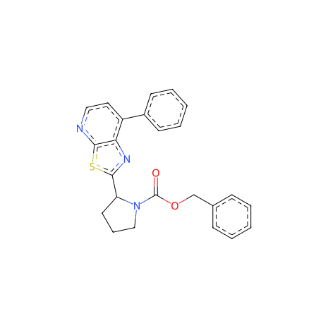 O=C(OCc1ccccc1)N1CCCC1c1nc2c(-c3ccccc3)ccnc2s1